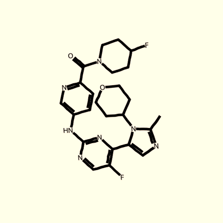 Cc1ncc(-c2nc(Nc3ccc(C(=O)N4CCC(F)CC4)nc3)ncc2F)n1C1CCOCC1